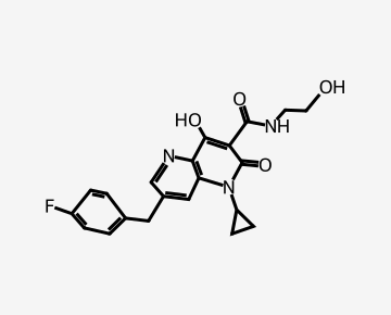 O=C(NCCO)c1c(O)c2ncc(Cc3ccc(F)cc3)cc2n(C2CC2)c1=O